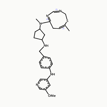 COc1cncc(Nc2ccc(CNC3CCC(N(C)/C4=N/C=N\CS/C(C)=C\C4)C3)cc2)c1